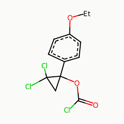 CCOc1ccc(C2(OC(=O)Cl)CC2(Cl)Cl)cc1